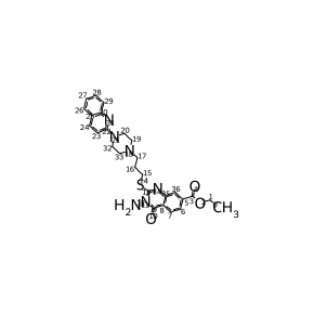 CCOC(=O)c1ccc2c(=O)n(N)c(SCCCN3CCN(c4ccc5ccccc5n4)CC3)nc2c1